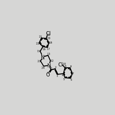 O=C(C=Cc1ccccc1Cl)N1CCN(Cc2ccc(Cl)cc2)CC1